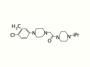 Cc1cc(N2CCN(CC(=O)N3CCN(C(C)C)CC3)CC2)ccc1Cl